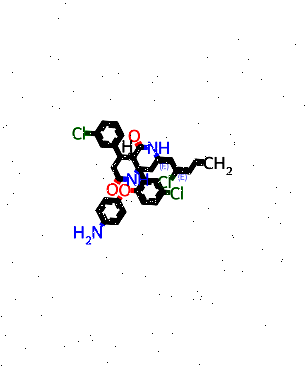 C=C/C=C(Cl)\C=C1/CC2(c3cc(Cl)ccc3Oc3ccc(N)cc3)NC(=O)CC(c3cccc(Cl)c3)[C@@H]2C(=O)N1